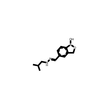 CC(C)CN/N=C/c1ccc2c(c1)COB2O